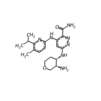 Cc1ccc(Nc2cc(N[C@@H]3CCOC[C@@H]3N)nnc2C(N)=O)nc1C(C)C